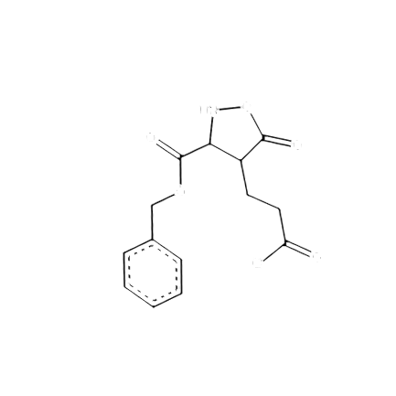 O=C(Cl)CCC1C(=O)ONC1C(=O)OCc1ccccc1